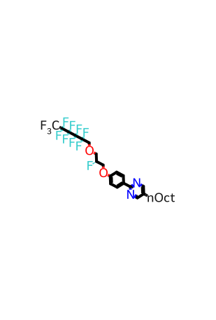 CCCCCCCCc1cnc(-c2ccc(OC[C@H](F)COCC(F)(F)C(F)(F)C(F)(F)C(F)(F)C(F)(F)F)cc2)nc1